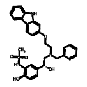 CS(=O)(=O)Nc1cc([C@@H](O)CN(CCOc2ccc3c(c2)[nH]c2ccccc23)Cc2ccccc2)ccc1O